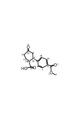 COC(=O)c1ccc([C@@H]2CC(=O)CCN2C(=O)O)cc1